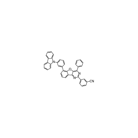 N#Cc1cccc(-c2nc(-c3ccccc3)c3oc4c(-c5cccc(-n6c7ccccc7c7ccccc76)c5)cccc4c3n2)c1